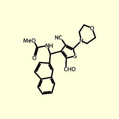 COC(=O)NC(c1ccc2ccccc2c1)c1c(C=O)sc(N2CCOCC2)c1C#N